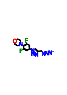 [N-]=[N+]=NCc1cn(-c2cc(F)c(N3CCOCC3)c(F)c2)nn1